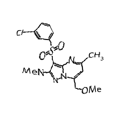 CNc1nn2c(COC)cc(C)nc2c1S(=O)(=O)c1cccc(Cl)c1